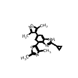 Cc1nc(C)c(-c2cc(-c3c(C)noc3C)cc3[nH]c(C4CC4)nc23)s1